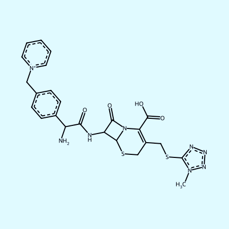 Cn1nnnc1SCC1=C(C(=O)O)N2C(=O)C(NC(=O)C(N)c3ccc(C[n+]4ccccc4)cc3)C2SC1